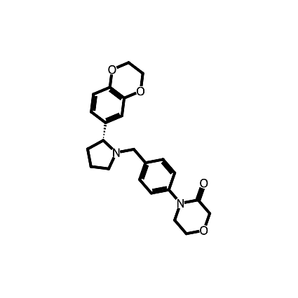 O=C1COCCN1c1ccc(CN2CCC[C@@H]2c2ccc3c(c2)OCCO3)cc1